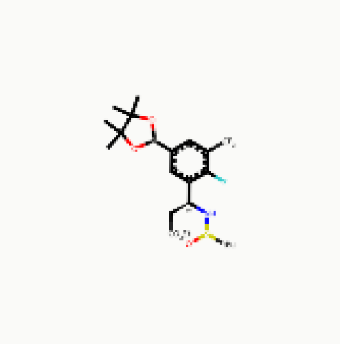 CCOC(=O)C[C@H](N[S+]([O-])C(C)(C)C)c1cc(B2OC(C)(C)C(C)(C)O2)cc(C(F)(F)F)c1F